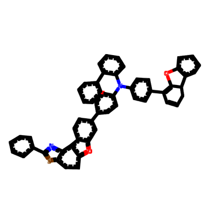 C1=CC(c2ccc(N(c3ccc(-c4ccc5c(c4)oc4ccc6sc(-c7ccccc7)nc6c45)cc3)c3ccccc3-c3ccccc3)cc2)=C2Oc3ccccc3C2C1